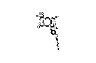 CCOCCOCCOc1ccc(C[C@@H](C(=O)O)N2CCN(CC(=O)O)CCN(C(CO)C(=O)O)CCN(CC(=O)OC)CC2)cc1